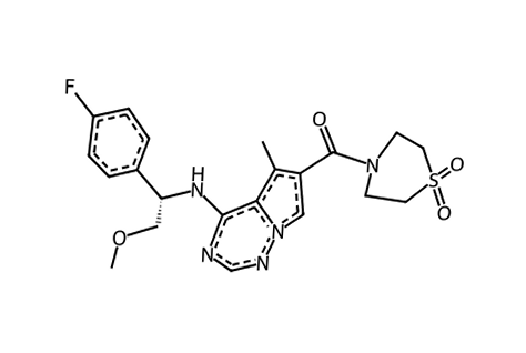 COC[C@@H](Nc1ncnn2cc(C(=O)N3CCS(=O)(=O)CC3)c(C)c12)c1ccc(F)cc1